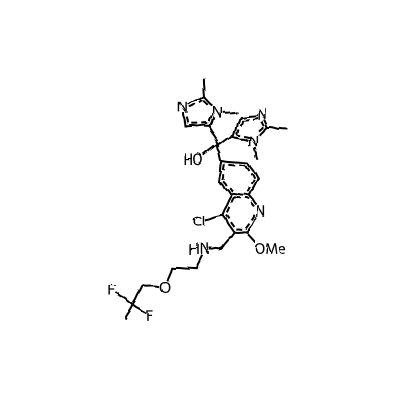 COc1nc2ccc(C(O)(c3cnc(C)n3C)c3cnc(C)n3C)cc2c(Cl)c1CNCCOCC(C)(F)F